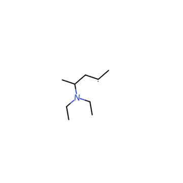 C[CH]CC(C)N(CC)CC